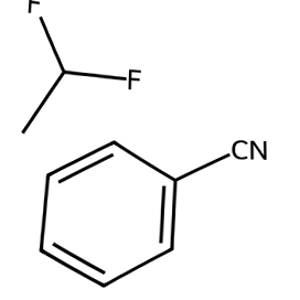 CC(F)F.N#Cc1ccccc1